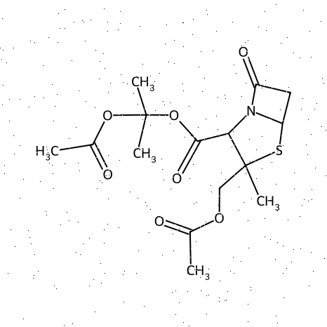 CC(=O)OCC1(C)SC2CC(=O)N2C1C(=O)OC(C)(C)OC(C)=O